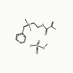 C=C(C)C(=O)OCC[N+](C)(C)Cc1ccccc1.COS(=O)(=O)[O-]